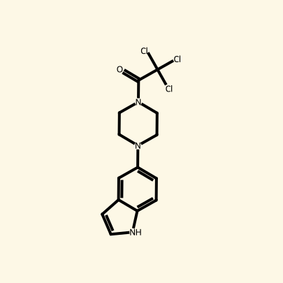 O=C(N1CCN(c2ccc3[nH]ccc3c2)CC1)C(Cl)(Cl)Cl